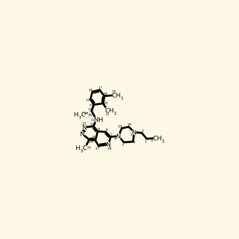 CCCN1CCN(c2cc3c(N[C@H](C)c4cccc(C)c4C)nnc(C)c3cn2)CC1